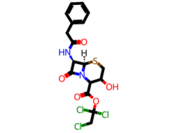 O=C(Cc1ccccc1)N[C@@H]1C(=O)N2C(C(=O)OC(Cl)(Cl)CCl)C(O)CS[C@H]12